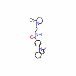 CCC1CCCCN1CCCNC(=O)c1ccc(-n2c(C)cc3c2CCCC3)cc1